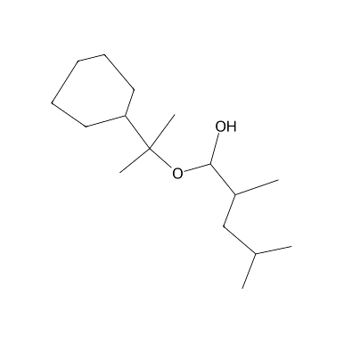 CC(C)CC(C)C(O)OC(C)(C)C1CCCCC1